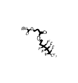 CCC(C)C(=O)OCCC(=O)OCCC(F)(F)C(F)(F)C(F)(F)C(F)(F)F